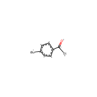 CCC(=O)c1ccc(C(C)CC)cc1